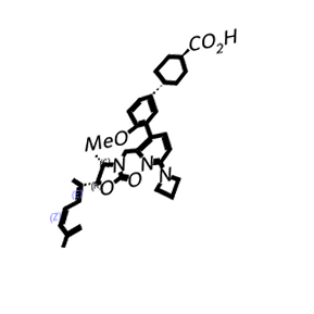 C=C(C)/C=C\C=C(/C)[C@H]1OC(=O)N(Cc2nc(N3CCC3)ccc2-c2cc([C@H]3CC[C@H](C(=O)O)CC3)ccc2OC)[C@H]1C